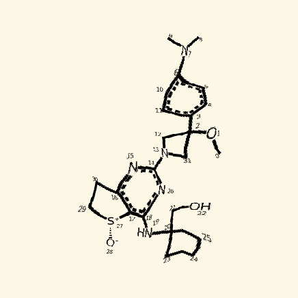 COC1(c2ccc(N(C)C)cc2)CN(c2nc3c(c(NC4(CO)CCC4)n2)[S@+]([O-])CC3)C1